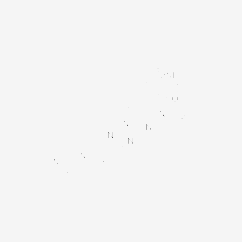 CN1CCN(c2ccc(Nc3ncc4c(n3)N(C3CCCC3)C(=O)C3(CCNC3=O)C4)nc2)CC1